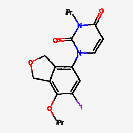 CC(C)Oc1c(I)cc(-n2ccc(=O)n(C(C)C)c2=O)c2c1COC2